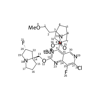 COCCC12CCC(CN(c3nc(OC[C@@]45CCCN4C[C@H](F)C5)nc4c(F)c(Cl)ncc34)C1)N2C(=O)OC(C)(C)C